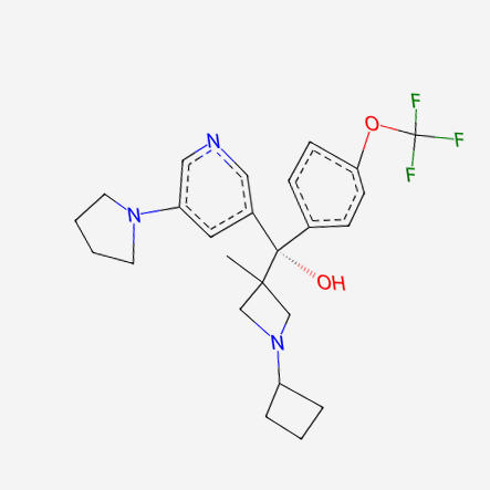 CC1([C@](O)(c2ccc(OC(F)(F)F)cc2)c2cncc(N3CCCC3)c2)CN(C2CCC2)C1